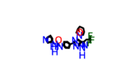 O=C(Nc1ccc(-c2nc(N3CC4CCC(C3)O4)c3c(CC(F)(F)F)n[nH]c3n2)cc1)Nc1cccnc1